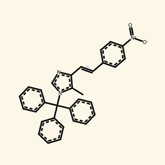 Cc1c(/C=C/c2ccc([N+](=O)[O-])cc2)ncn1C(c1ccccc1)(c1ccccc1)c1ccccc1